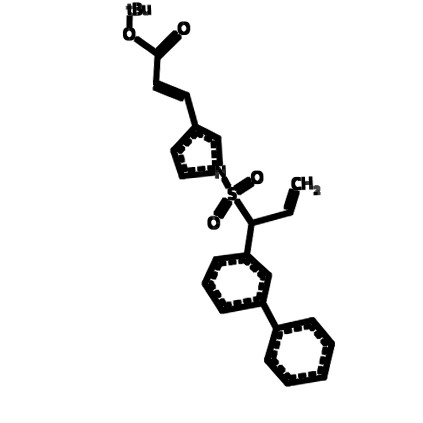 C=CC(c1cccc(-c2ccccc2)c1)S(=O)(=O)n1ccc(/C=C/C(=O)OC(C)(C)C)c1